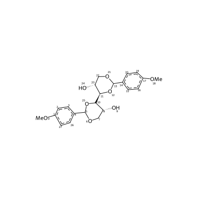 COc1ccc(C2OC[C@@H](O)C([C@@H]3OC(c4ccc(OC)cc4)OC[C@H]3O)O2)cc1